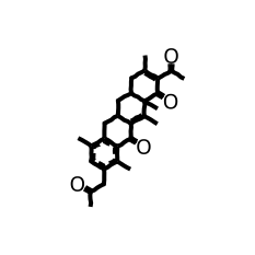 CC(=O)Cc1cc(C)c2c(c1C)C(=O)C1=C(C)C3(C)C(=O)C(C(C)=O)=C(C)CC3CC1C2